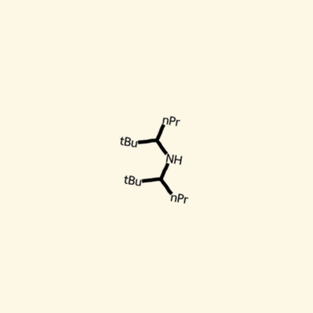 CCCC(NC(CCC)C(C)(C)C)C(C)(C)C